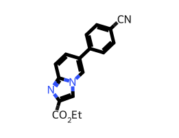 CCOC(=O)c1cn2cc(-c3ccc(C#N)cc3)ccc2n1